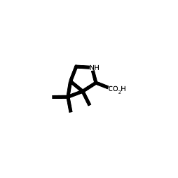 CC1(C)C2CNC(C(=O)O)C21C